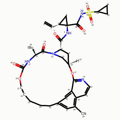 C=C[C@@H]1C[C@]1(NC(=O)[C@@H]1C[C@@H]2CN1C(=O)[C@H](C(C)(C)C)NC(=O)OCCCCCc1cc(C#N)c3ccnc(c3c1)O2)C(=O)NS(=O)(=O)C1CC1